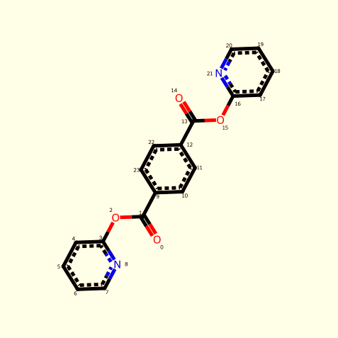 O=C(Oc1ccccn1)c1ccc(C(=O)Oc2ccccn2)cc1